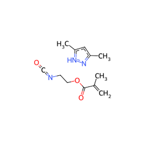 C=C(C)C(=O)OCCN=C=O.Cc1cc(C)[nH]n1